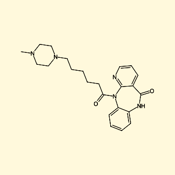 CN1CCN(CCCCCC(=O)N2c3ccccc3NC(=O)c3cccnc32)CC1